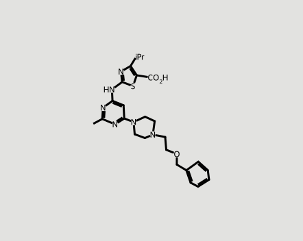 Cc1nc(Nc2nc(C(C)C)c(C(=O)O)s2)cc(N2CCN(CCOCc3ccccc3)CC2)n1